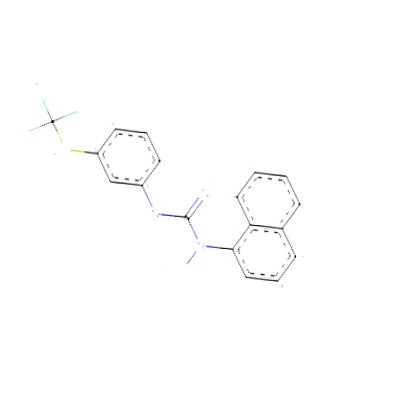 CN(C(=N)Nc1cccc(SC(F)(F)F)c1)c1cccc2ccccc12